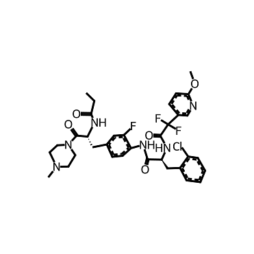 CCC(=O)N[C@H](Cc1ccc(NC(=O)[C@H](Cc2ccccc2Cl)NC(=O)C(F)(F)c2ccc(OC)nc2)c(F)c1)C(=O)N1CCN(C)CC1